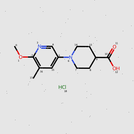 COc1ncc(N2CCC(C(=O)O)CC2)cc1C.Cl